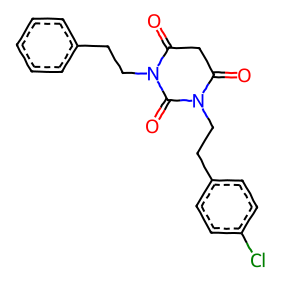 O=C1CC(=O)N(CCc2ccc(Cl)cc2)C(=O)N1CCc1ccccc1